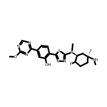 CN[C@@]1(C)CCC(F)[C@@H](N(C)c2nnc(-c3ccc(-c4ncnc(OC)n4)cc3O)s2)C1